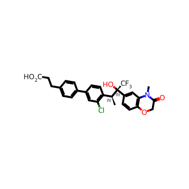 C[C@@H](c1ccc(-c2ccc(CCC(=O)O)cc2)cc1Cl)[C@](O)(c1ccc2c(c1)N(C)C(=O)CO2)C(F)(F)F